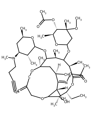 C#CCCN(C)[C@H]1C[C@@H](C)OC(OC2[C@@H](C)C(OC3C[C@@](C)(OC)[C@@H](OC(C)=O)[C@H](C)O3)[C@@H](C)C(=O)O[C@H](CC)[C@@](C)(O)C3OCC(=C)CO[C@]2(C)C[C@@H](C)/C(=N\OC(C)=O)[C@@H]3C)[C@@H]1C